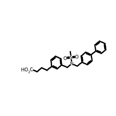 CS(=O)(=O)N(Cc1ccc(-c2ccccc2)cc1)Cc1cccc(CCCC(=O)O)c1